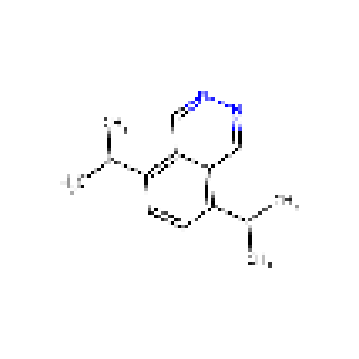 CC(C)c1ccc(C(C)C)c2cnncc12